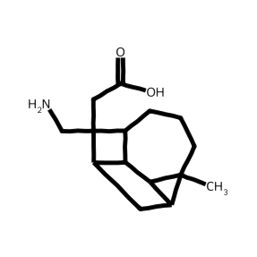 CC12CCCC3C4C1C2CC4C3(CN)CC(=O)O